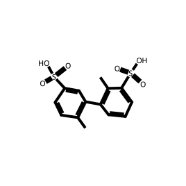 Cc1ccc(S(=O)(=O)O)cc1-c1cccc(S(=O)(=O)O)c1C